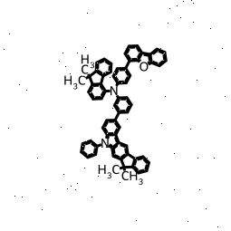 CC1(C)c2ccccc2-c2cc3c4cc(-c5cccc(N(c6ccc(-c7cccc8c7oc7ccccc78)cc6)c6cccc7c6-c6ccccc6C7(C)C)c5)ccc4n(-c4ccccc4)c3cc21